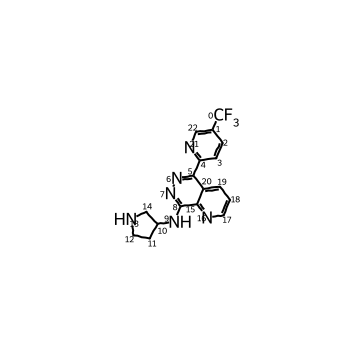 FC(F)(F)c1ccc(-c2nnc(NC3CCNC3)c3ncccc23)nc1